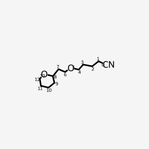 N#CCCCCOCCC1CCCCO1